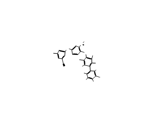 C#Cc1cc(C)cc(Oc2ccc(Oc3c(F)c(F)c(-c4c(F)c(F)c(C)c(F)c4F)c(F)c3F)c(S(=O)(=O)O)c2)c1